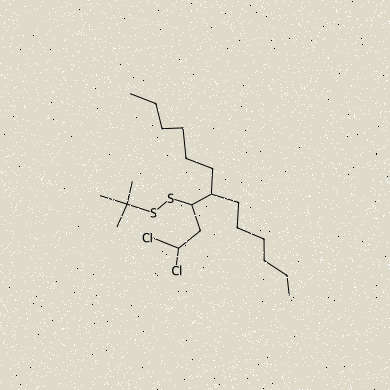 CCCCCCC(CCCCCC)C(CC(Cl)Cl)SSC(C)(C)C